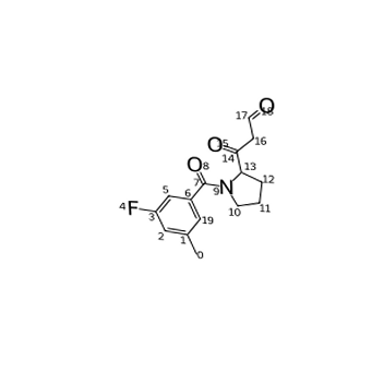 Cc1cc(F)cc(C(=O)N2CCCC2C(=O)CC=O)c1